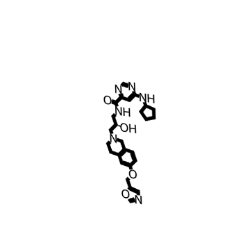 O=C(NC[C@H](O)CN1CCc2cc(OCc3cnco3)ccc2C1)c1cc(NC2CCCC2)ncn1